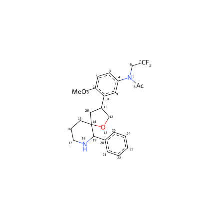 COc1ccc(N(CC(F)(F)F)C(C)=O)cc1C1COC2(CCCNC2c2ccccc2)C1